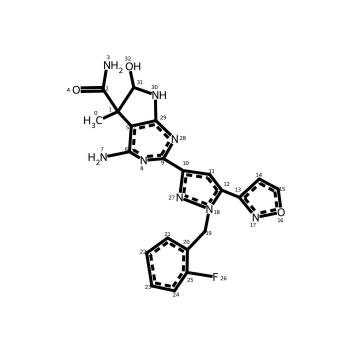 CC1(C(N)=O)c2c(N)nc(-c3cc(-c4ccon4)n(Cc4ccccc4F)n3)nc2NC1O